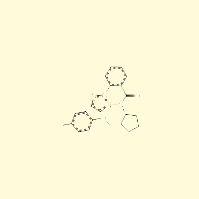 O=C(N[C@H]1CCC[C@@H]1COc1ccc(F)cc1)c1ccccc1-n1nccn1